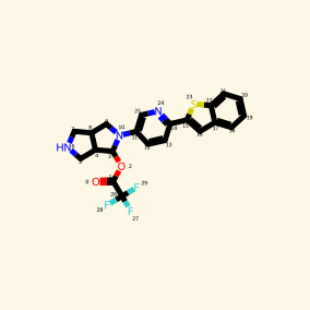 O=C(OC1C2CNCC2CN1c1ccc(-c2cc3ccccc3s2)nc1)C(F)(F)F